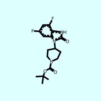 CC(C)(C)OC(=O)N1CCC(n2c(=O)[nH]c3c(F)cc(F)cc32)CC1